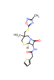 Cc1noc(SCC2(C(=O)O)CS[C@@H]3C(NC(=O)Cc4cccs4)C(=O)N3C2)n1